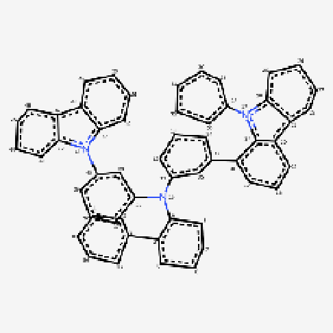 c1ccc(-c2ccccc2N(c2cccc(-c3cccc4c5ccccc5n(-c5ccccc5)c34)c2)c2cccc(-n3c4ccccc4c4ccccc43)c2)cc1